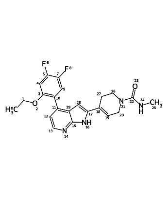 CCOc1cc(F)c(F)cc1-c1ccnc2[nH]c(C3=CCN(C(=O)NC)CC3)cc12